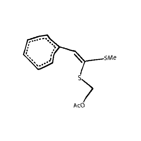 CSC(=Cc1ccccc1)SCOC(C)=O